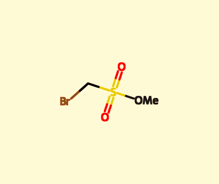 COS(=O)(=O)CBr